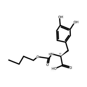 CCCCOC(=O)N[C@@H](Cc1ccc(O)c(O)c1)C(=O)O